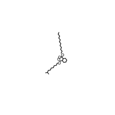 CCCCCCCCCCCCOC(=O)C1CCCCC1C(=O)OCCCCCCCC(C)C